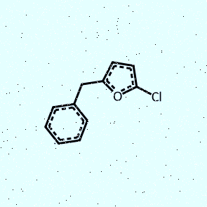 Clc1ccc(Cc2cc[c]cc2)o1